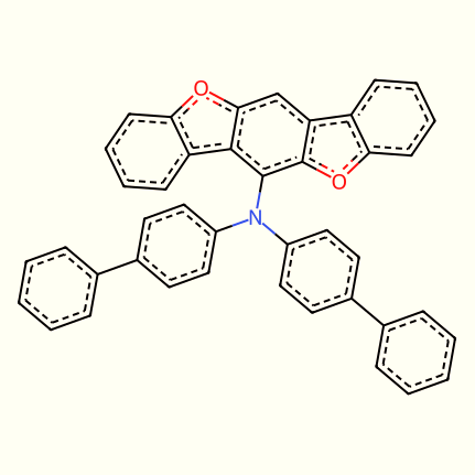 c1ccc(-c2ccc(N(c3ccc(-c4ccccc4)cc3)c3c4oc5ccccc5c4cc4oc5ccccc5c34)cc2)cc1